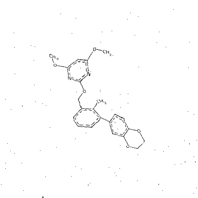 COc1cc(OC)nc(OCc2cccc(-c3ccc4c(c3)OCCO4)c2C)n1